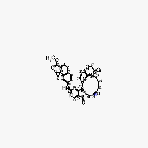 COC(=O)N1CCc2ccc(Nc3ncc4c(=O)n5n(c4n3)-c3ccc4c(n3)N(CCC/C=C\C5)C(=O)CO4)cc2C12CC2